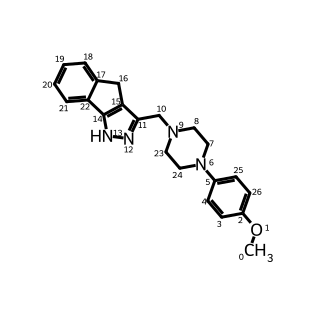 COc1ccc(N2CCN(Cc3n[nH]c4c3Cc3ccccc3-4)CC2)cc1